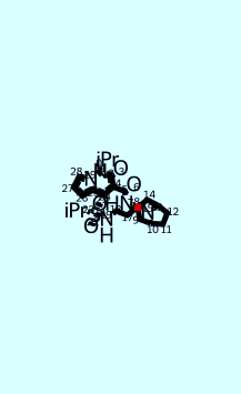 CC(C)n1c(=O)c(C(=O)NC2CC3CCC(C2)N3CCCNS(=O)(=O)C(C)C)cc2cccn21